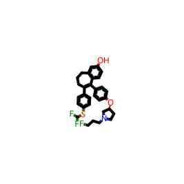 Oc1ccc2c(c1)CCCC(c1ccc(SC(F)F)cc1)=C2c1ccc(O[C@H]2CCN(CCCF)C2)cc1